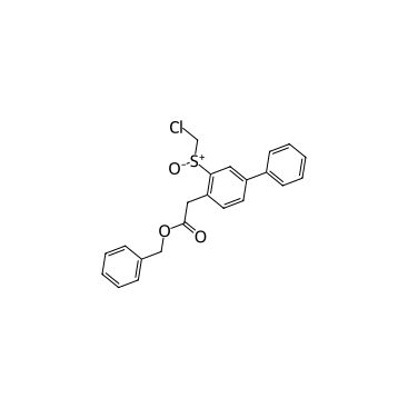 O=C(Cc1ccc(-c2ccccc2)cc1[S+]([O-])CCl)OCc1ccccc1